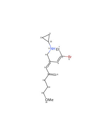 C=C(/C=C(\C=C(\Br)CC)CNC1CC1)CCCOC